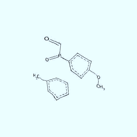 COc1ccc([P](=O)C=O)cc1.Cc1ccccc1